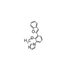 COc1c(-c2cc3ccccc3o2)cccc1-n1ccnc1